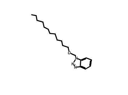 CCCCCCCCCCCCOCn1nnc2ccccc21